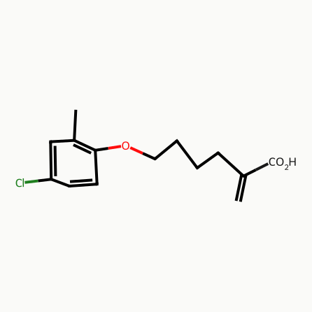 C=C(CCCCOc1ccc(Cl)cc1C)C(=O)O